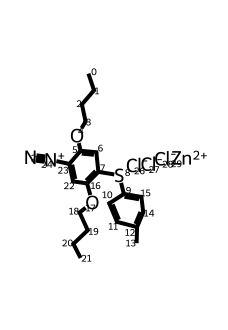 CCCCOc1cc(Sc2ccc(C)cc2)c(OCCCC)cc1[N+]#N.[Cl-].[Cl-].[Cl-].[Zn+2]